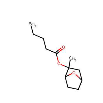 BCCCC(=O)OC1(C)CC2CCC1O2